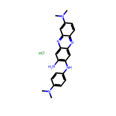 CN(C)c1ccc(Nc2cc3nc4ccc(N(C)C)cc4nc3cc2N)cc1.Cl